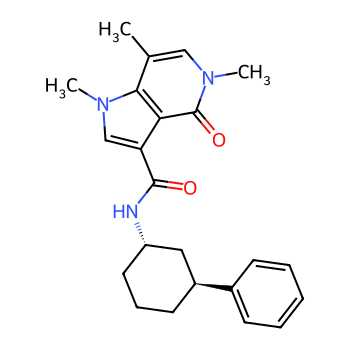 Cc1cn(C)c(=O)c2c(C(=O)N[C@H]3CCC[C@H](c4ccccc4)C3)cn(C)c12